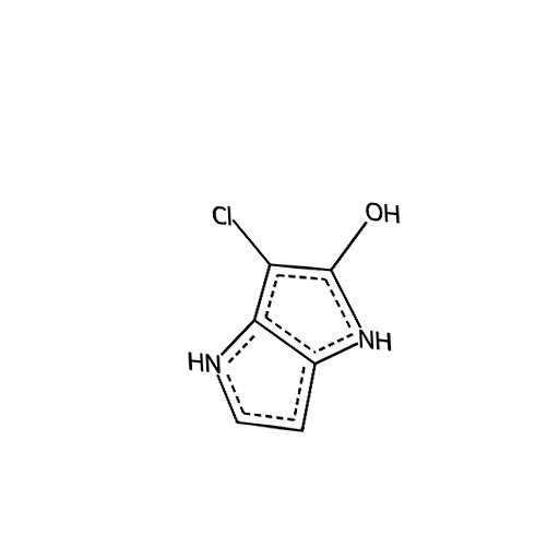 Oc1[nH]c2cc[nH]c2c1Cl